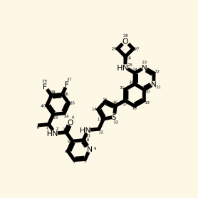 CC(NC(=O)c1cccnc1NCc1ccc(-c2ccc3ncnc(NC4COC4)c3c2)s1)c1ccc(F)c(F)c1